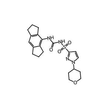 O=C(Nc1c2c(cc3c1CCC3)CCC2)NS(=O)(=O)c1ccn(C2CCOCC2)n1